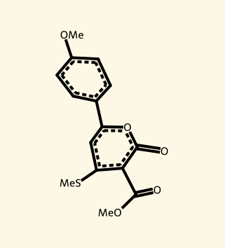 COC(=O)c1c(SC)cc(-c2ccc(OC)cc2)oc1=O